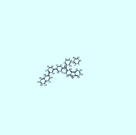 c1ccc(-c2cccc(N(c3ccc(-c4cccc(-c5ccc6ccccc6c5)c4)cc3)c3ccc4sc5ccccc5c4c3)c2)cc1